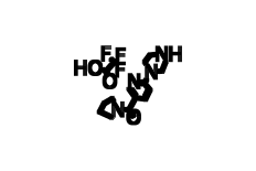 O=C(O)C(F)(F)F.O=C(c1ccc(N2CCNCC2)nc1)N1CCCC1